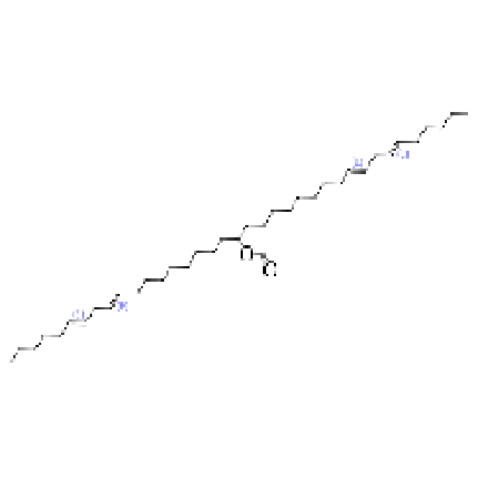 CCCCC/C=C/C/C=C/CCCCCCCCC(CCCCCCCC/C=C/C/C=C/CCCCC)OC=O